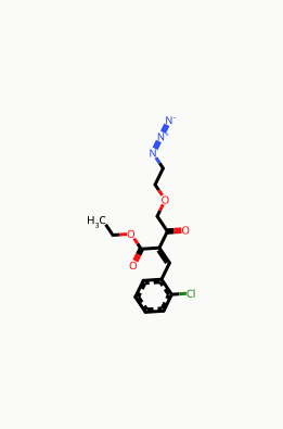 CCOC(=O)/C(=C\c1ccccc1Cl)C(=O)COCCN=[N+]=[N-]